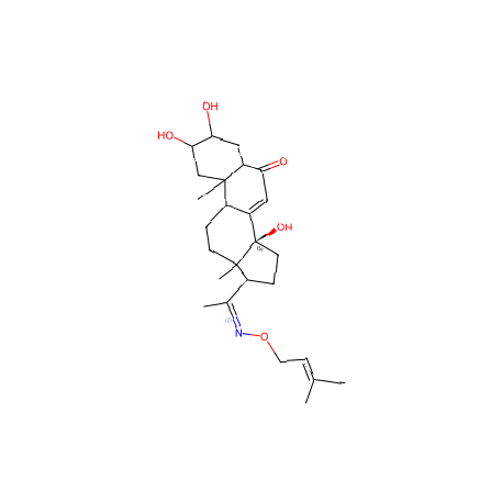 CC(C)=CCO/N=C(/C)C1CC[C@@]2(O)C3=CC(=O)C4CC(O)C(O)CC4(C)C3CCC12C